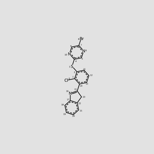 Clc1c(Sc2cnc(Br)cn2)cccc1C1=Nc2ccccc2C1